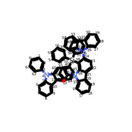 c1ccc(-n2c3ccccc3c3cc(-n4c5ccccc5c5ccc(-n6c7ccccc7c7ccccc76)c([Si](c6ccccc6)(c6ccccc6)c6ccccc6)c54)ccc32)cc1